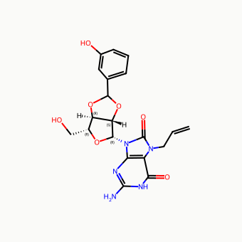 C=CCn1c(=O)n([C@@H]2O[C@H](CO)[C@H]3OC(c4cccc(O)c4)O[C@@H]32)c2nc(N)[nH]c(=O)c21